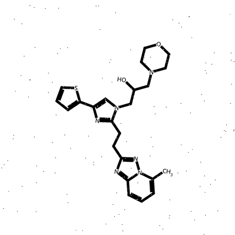 Cc1cccc2nc(CCc3nc(-c4cccs4)cn3CC(O)CN3CCOCC3)nn12